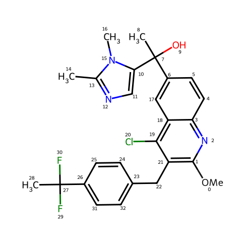 COc1nc2ccc(C(C)(O)c3cnc(C)n3C)cc2c(Cl)c1Cc1ccc(C(C)(F)F)cc1